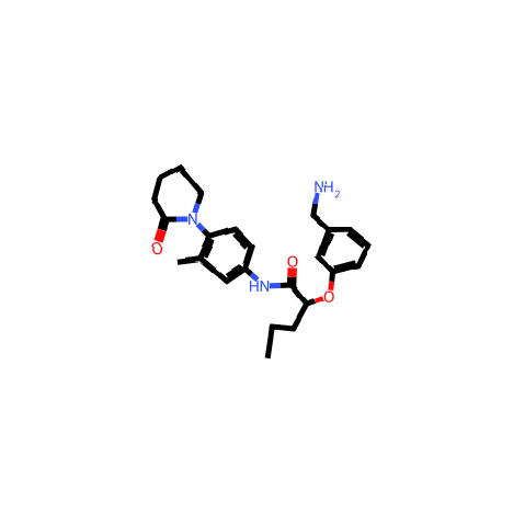 CCCC(Oc1cccc(CN)c1)C(=O)Nc1ccc(N2CCCCC2=O)c(C)c1